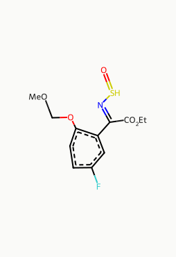 CCOC(=O)/C(=N\[SH]=O)c1cc(F)ccc1OCOC